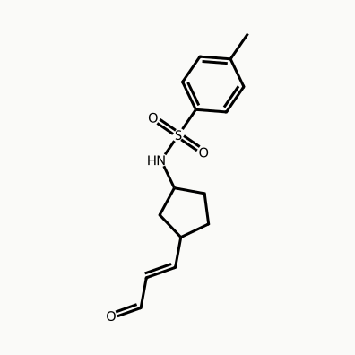 Cc1ccc(S(=O)(=O)NC2CCC(C=CC=O)C2)cc1